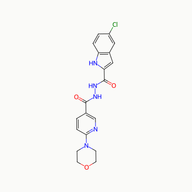 O=C(NNC(=O)c1cc2cc(Cl)ccc2[nH]1)c1ccc(N2CCOCC2)nc1